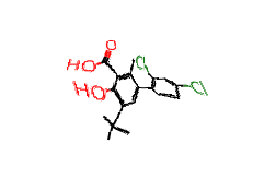 Cc1c(-c2ccc(Cl)cc2Cl)cc(C(C)(C)C)c(O)c1C(=O)O